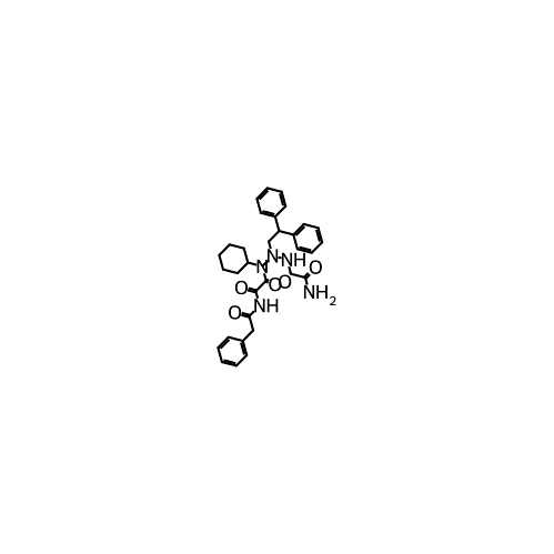 NC(=O)C(=O)NN(CC(c1ccccc1)c1ccccc1)N(C(=O)C(=O)NC(=O)Cc1ccccc1)C1CCCCC1